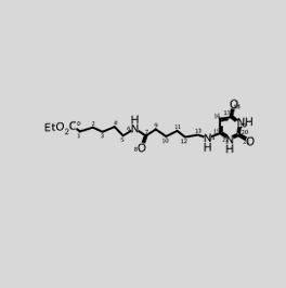 CCOC(=O)CCCCCNC(=O)CCCCCNc1cc(=O)[nH]c(=O)[nH]1